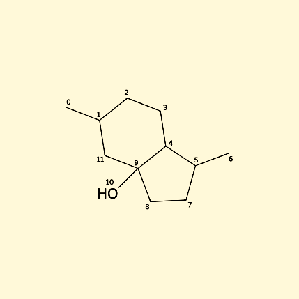 CC1CCC2C(C)CCC2(O)C1